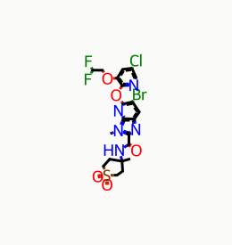 Cn1c(C(=O)NC2(C)CCS(=O)(=O)CC2)nc2cc(Br)c(Oc3ncc(Cl)cc3OCC(F)F)nc21